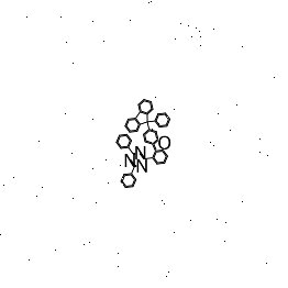 c1ccc(-c2nc(-c3ccccc3)nc(-c3cccc4oc5cc(C6(c7ccccc7)c7ccccc7-c7ccccc76)ccc5c34)n2)cc1